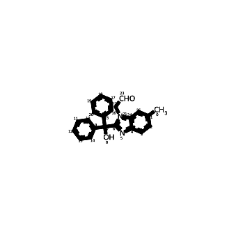 Cc1ccc2nc(C(O)(c3ccccc3)c3ccccc3)n(CC=O)c2c1